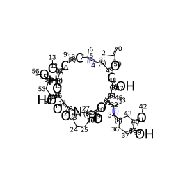 C=CC[C@H]1/C=C(\C)C[C@@H](C)C[C@H](OC)[C@H]2O[C@@](O)(C(=O)C(=O)N3CCCC[C@H]3C(=O)O[C@H](/C(C)=C/[C@@H]3CC[C@@H](O)[C@H](OC)C3)[C@@H](C)[C@@H](O)CC1=O)[C@H](C)C[C@@H]2OC